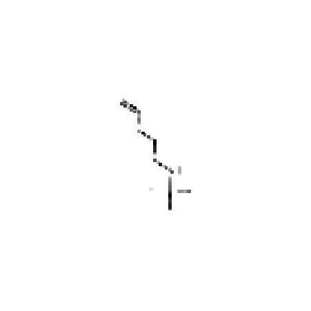 C=CCCCNC(C)(C)C